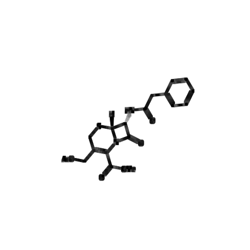 COC(=O)C1=C(COC(C)=O)CS[C@@H]2[C@H](NC(=O)Cc3ccccc3)C(=O)N12